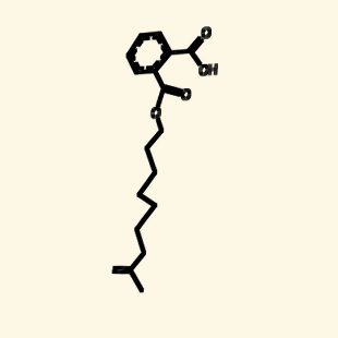 C=C(C)CCCCCCCOC(=O)c1ccccc1C(=O)O